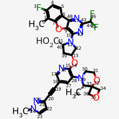 Cc1c(F)ccc2c1oc1c(N3C[C@@H](Oc4ncc(C#Cc5ccn(C)n5)cc4N4CCOC5(COC5)[C@@H]4C)C[C@H]3C(=O)O)nc(C(F)F)nc12